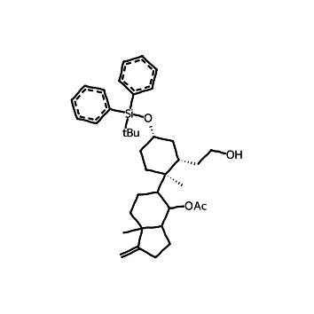 C=C1CCC2C(OC(C)=O)C([C@@]3(C)CC[C@H](O[Si](c4ccccc4)(c4ccccc4)C(C)(C)C)C[C@@H]3CCO)CCC12C